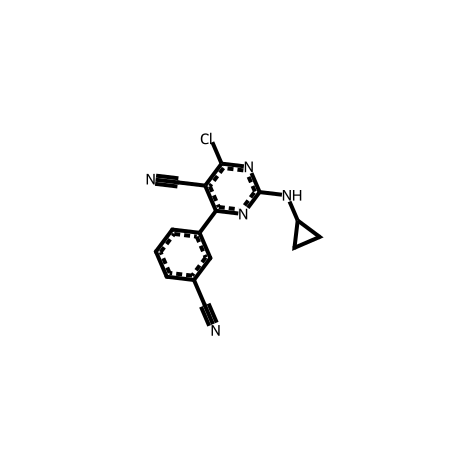 N#Cc1cccc(-c2nc(NC3CC3)nc(Cl)c2C#N)c1